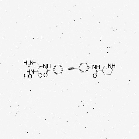 NC[C@H](NC(=O)c1ccc(C#Cc2ccc(NC(=O)C3CCCNC3)cc2)cc1)C(=O)NO